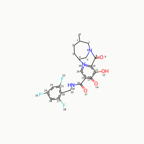 CC1CCC2CN(C1)C(=O)c1c(O)c(=O)c(C(=O)NCc3c(F)cc(F)cc3F)cn12